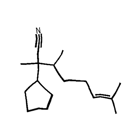 CC(C)=CCCC(C)C(C)(C#N)C1CCCC1